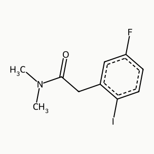 CN(C)C(=O)Cc1cc(F)ccc1I